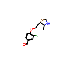 CC1NCSC1CCOc1ccc(C=O)cc1Cl